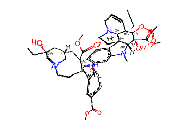 CC[C@]1(O)C[C@H]2CN(CCc3c([nH]c4ccc(C(=O)OC)cc34)[C@@](C(=O)OC)(c3cc4c(cc3OC)N(C)[C@H]3[C@@](O)(C(=O)OC)[C@H](OC(C)=O)[C@]5(CC)C=CCN6CC[C@]43[C@@H]65)C2)C1